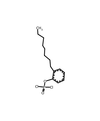 CCCCCCCCc1ccccc1OP(=O)(Cl)Cl